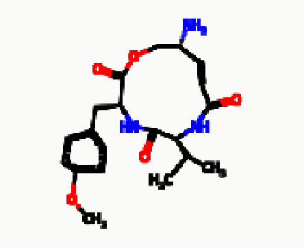 COc1ccc(C[C@@H]2NC(=O)[C@H](C(C)C)NC(=O)/C=C/[C@@H](N)COC2=O)cc1